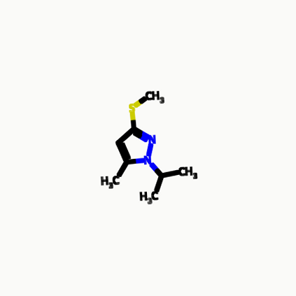 CSc1cc(C)n(C(C)C)n1